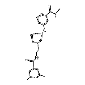 CNC(=O)c1cc(Oc2cccc(CCNC(=O)c3cc(C)cc(C)c3)c2)ccn1